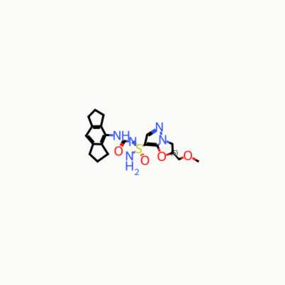 COC[C@@H]1Cn2ncc(S(N)(=O)=NC(=O)Nc3c4c(cc5c3CCC5)CCC4)c2O1